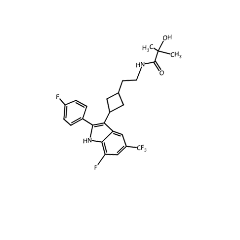 CC(C)(O)C(=O)NCCC1CC(c2c(-c3ccc(F)cc3)[nH]c3c(F)cc(C(F)(F)F)cc23)C1